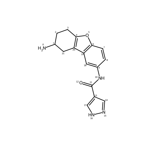 NC1CCc2oc3ccc(NC(=O)c4cn[nH]c4)cc3c2C1